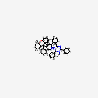 CN1C(C2=CCCC=C2)=NC(C2=C(C3C=C(C4(C5=CCCCC5)C5=CCCCC5(C)OC5C=CC=CC54C)C=CC3)C=CCC2)NC1C1C=CC=CC1